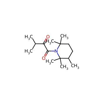 CC(C)C(=O)C(=O)N1C(C)(C)CCC(C)C1(C)C